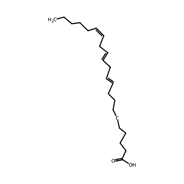 CCCCC/C=C\CC=CCC=CCCCCCCCCC(=O)O